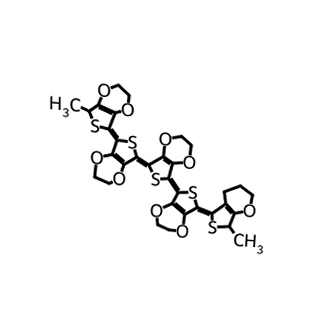 CC1S/C(=c2/s/c(=c3/s/c(=c4/s/c(=C5/SC(C)C6=C5OCCO6)c5c4OCCO5)c4c3OCCO4)c3c2OCCO3)C2=C1OCCC2